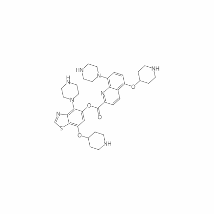 O=C(Oc1cc(OC2CCNCC2)c2scnc2c1N1CCNCC1)c1ccc2c(OC3CCNCC3)ccc(N3CCNCC3)c2n1